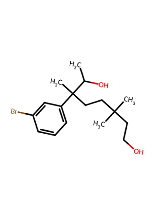 CC(O)C(C)(CCC(C)(C)CCO)c1cccc(Br)c1